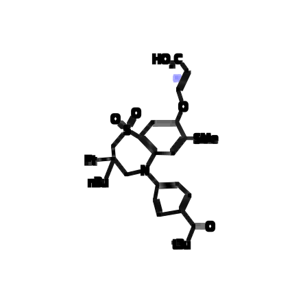 CCCCC1(CC)CN(c2ccc(C(=O)C(C)(C)C)cc2)c2cc(SC)c(O/C=C/C(=O)O)cc2S(=O)(=O)C1